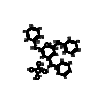 [O-][Cl+3]([O-])([O-])[O-].c1ccc(Sc2cc(Sc3ccccc3)[o+]c(Sc3ccccc3)c2)cc1